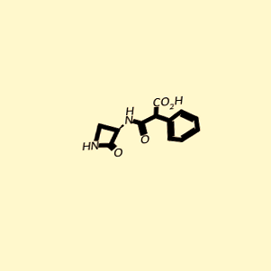 O=C(O)C(C(=O)N[C@H]1CNC1=O)c1ccccc1